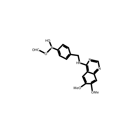 COc1cc2ncnc(NCc3ccc(B(O)OC=O)cc3)c2cc1OC